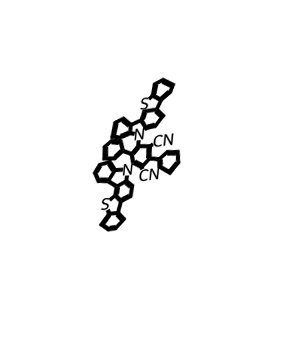 N#Cc1c(-c2ccccc2)c(C#N)c(-n2c3ccccc3c3c4sc5ccccc5c4ccc32)c(-c2ccccc2)c1-n1c2ccccc2c2c3sc4ccccc4c3ccc21